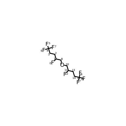 FC(CCC(F)(F)F)COCC(F)CCC(F)(F)F